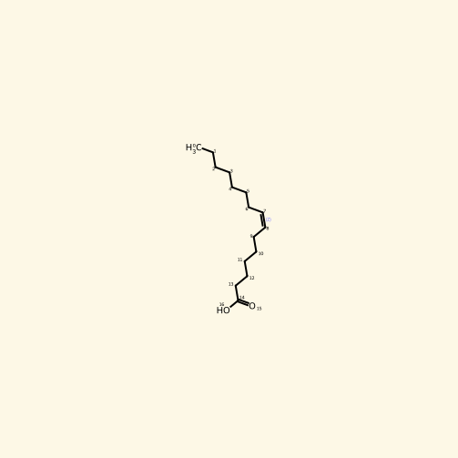 CCCCCCC/C=C\CCCCCC(=O)O